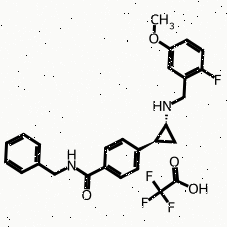 COc1ccc(F)c(CN[C@@H]2C[C@H]2c2ccc(C(=O)NCc3ccccc3)cc2)c1.O=C(O)C(F)(F)F